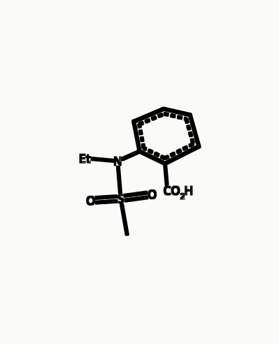 CCN(c1ccccc1C(=O)O)S(C)(=O)=O